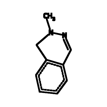 CN1Cc2ccccc2C=N1